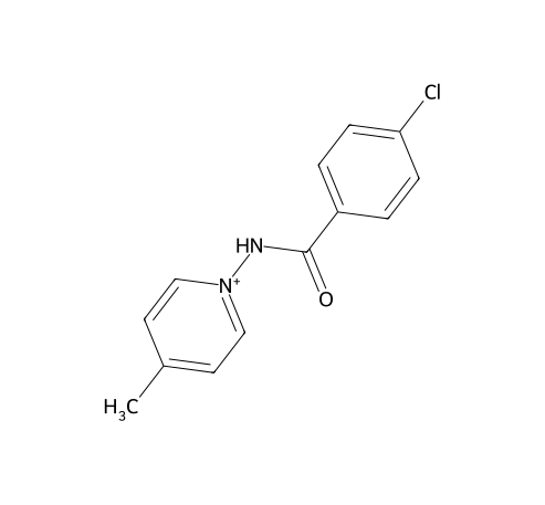 Cc1cc[n+](NC(=O)c2ccc(Cl)cc2)cc1